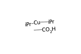 CC(=O)O.C[CH](C)[Cu][CH](C)C